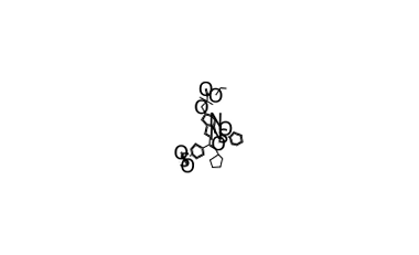 CCOC(=O)C(C)(C)Oc1cnc2c(c1)cc(/C(=C/C1CCCC1)c1ccc(S(C)(=O)=O)cc1)n2S(=O)(=O)c1ccccc1